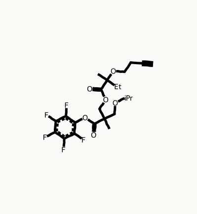 C#CCCOC(C)(CC)C(=O)OCC(C)(COC(C)C)C(=O)Oc1c(F)c(F)c(F)c(F)c1F